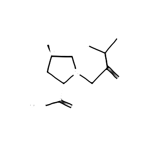 C=C(CN1C[C@H](F)C[C@H]1C(=O)OC)C(C)Cl